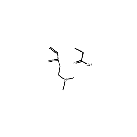 C=CC(=O)CCN(C)C.CCC(=O)O